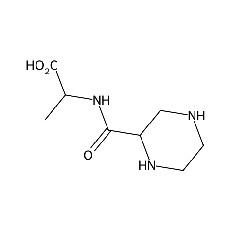 CC(NC(=O)C1CNCCN1)C(=O)O